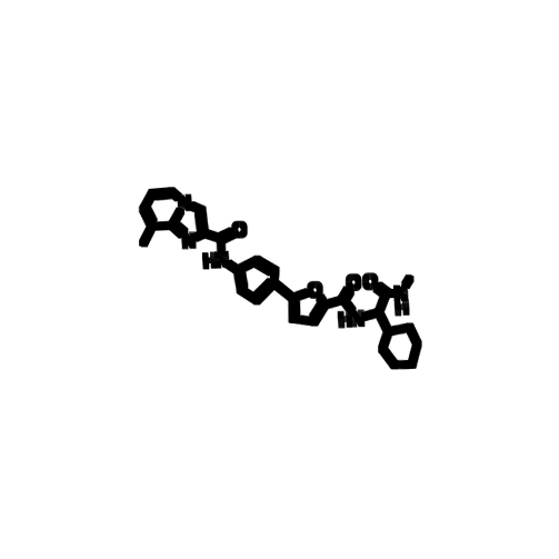 CNC(=O)C(NC(=O)c1ccc(-c2ccc(NC(=O)c3cn4cccc(C)c4n3)cc2)o1)C1CCCCC1